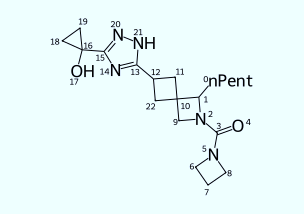 CCCCCC1N(C(=O)N2CCC2)CC12CC(c1nc(C3(O)CC3)n[nH]1)C2